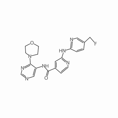 O=C(Nc1cncnc1N1CCOCC1)c1ccnc(Nc2ccc(CF)cn2)c1